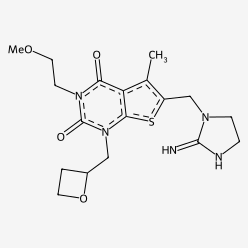 COCCn1c(=O)c2c(C)c(CN3CCNC3=N)sc2n(CC2CCO2)c1=O